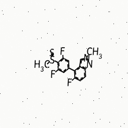 Cn1cc2c(-c3cc(F)c(S(C)=S)c(F)c3)c(F)ccc2n1